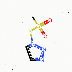 CS(=O)(=O)Sn1ccnn1